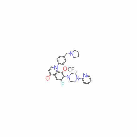 O=c1ccn(-c2ccc(CN3CCCC3)cc2)c2c(OC(F)(F)F)c(N3CCN(c4ccccn4)CC3)c(F)cc12